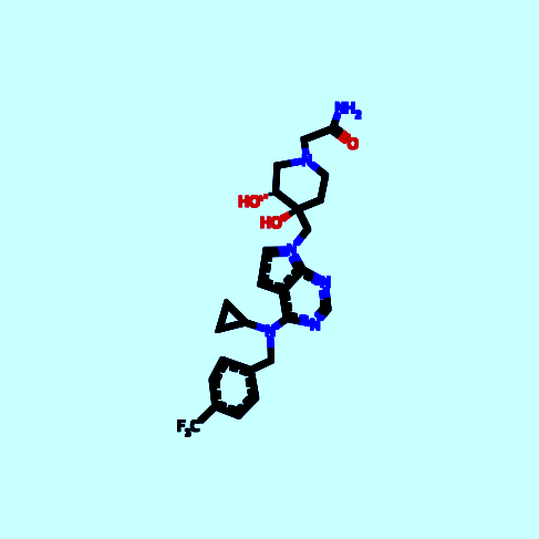 NC(=O)CN1CC[C@](O)(Cn2ccc3c(N(Cc4ccc(C(F)(F)F)cc4)C4CC4)ncnc32)[C@H](O)C1